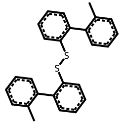 Cc1ccccc1-c1ccccc1SSc1ccccc1-c1ccccc1C